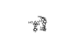 C[C@]12C[C@H](CCCCC(NC(=O)OCc3ccccc3)C(=O)O)C3=C4CCC(=NNC5=NCCN5)C=C4CC[C@H]3[C@@H]1CCC2O